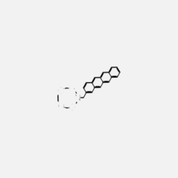 c1ccc2cc3cc4cc(CN5COCOCCOCOC5)ccc4cc3cc2c1